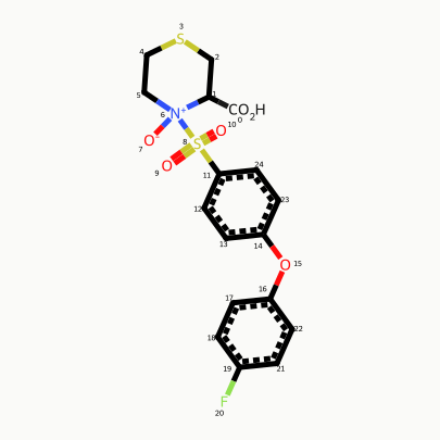 O=C(O)C1CSCC[N+]1([O-])S(=O)(=O)c1ccc(Oc2ccc(F)cc2)cc1